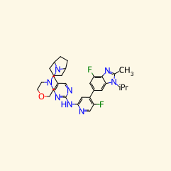 Cc1nc2c(F)cc(-c3cc(Nc4ncc(CN5C6CCC5CC(N5CCOCC5)C6)cn4)ncc3F)cc2n1C(C)C